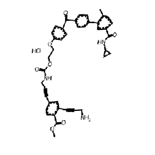 COC(=O)c1ccc(C#CCNC(=O)OCCOc2ccc(C(=O)c3ccc(-c4cc(C(=O)NC5CC5)ccc4C)cc3)cc2)cc1C#CCN.Cl